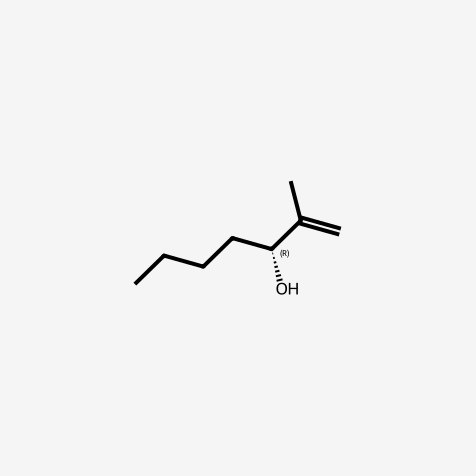 C=C(C)[C@H](O)CCCC